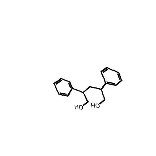 OCC(CC(CO)c1ccccc1)c1ccccc1